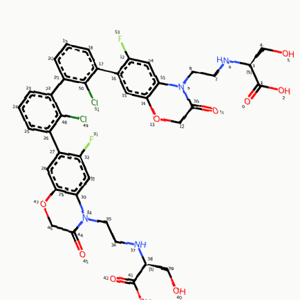 O=C(O)[C@H](CO)NCCN1C(=O)COc2cc(-c3cccc(-c4cccc(-c5cc6c(cc5F)N(CCN[C@@H](CO)C(=O)O)C(=O)CO6)c4Cl)c3Cl)c(F)cc21